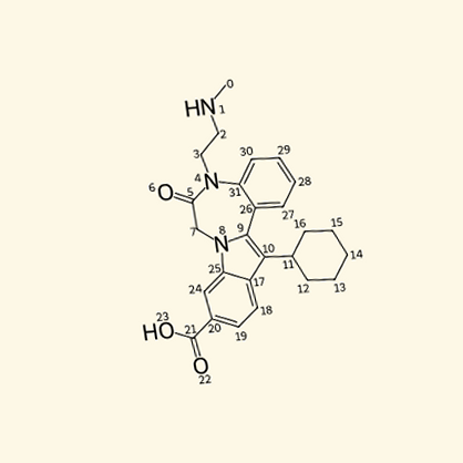 CNCCN1C(=O)Cn2c(c(C3CCCCC3)c3ccc(C(=O)O)cc32)-c2ccccc21